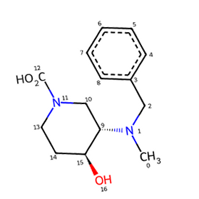 CN(Cc1ccccc1)[C@H]1CN(C(=O)O)CC[C@@H]1O